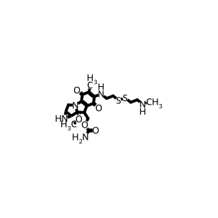 CNCCSSCCNC1=C(C)C(=O)C2=C(C1=O)C(COC(N)=O)[C@@]1(OC)C3NC3CN21